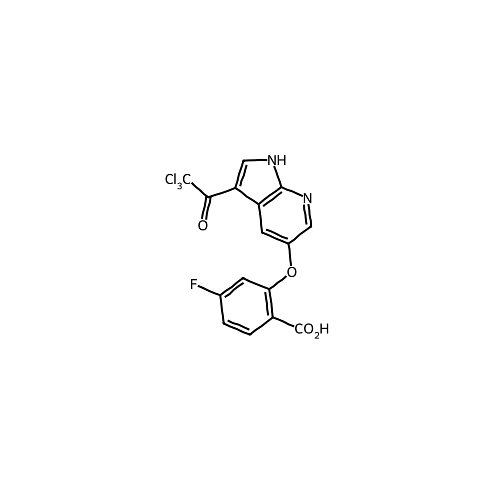 O=C(O)c1ccc(F)cc1Oc1cnc2[nH]cc(C(=O)C(Cl)(Cl)Cl)c2c1